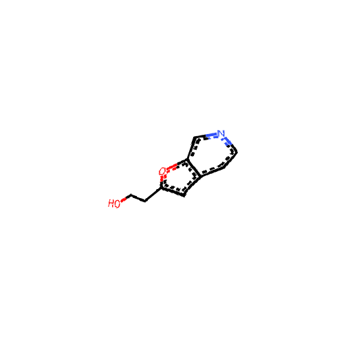 OCCc1cc2ccncc2o1